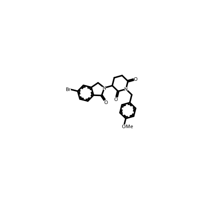 COc1ccc(CN2C(=O)CCC(N3Cc4cc(Br)ccc4C3=O)C2=O)cc1